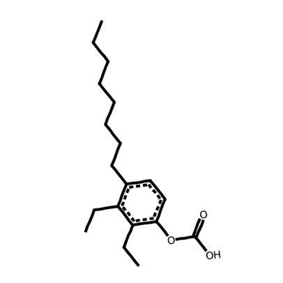 CCCCCCCCc1ccc(OC(=O)O)c(CC)c1CC